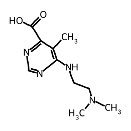 Cc1c(NCCN(C)C)ncnc1C(=O)O